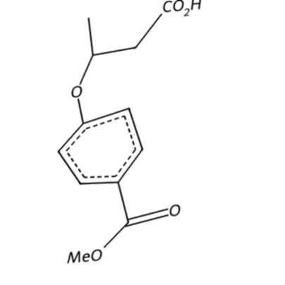 COC(=O)c1ccc(OC(C)CC(=O)O)cc1